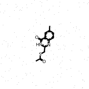 CC(=O)SCc1nc2ccc(C)cc2c(=O)[nH]1